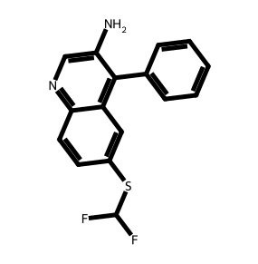 Nc1cnc2ccc(SC(F)F)cc2c1-c1ccccc1